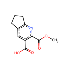 COC(=O)c1nc2c(cc1C(=O)O)CCC2